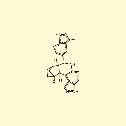 Fc1n[nH]c2ccc([C@@H]3Nc4ccc5[nH]ncc5c4[C@H]4[C@@H]5CCC(C5)[C@H]43)cc12